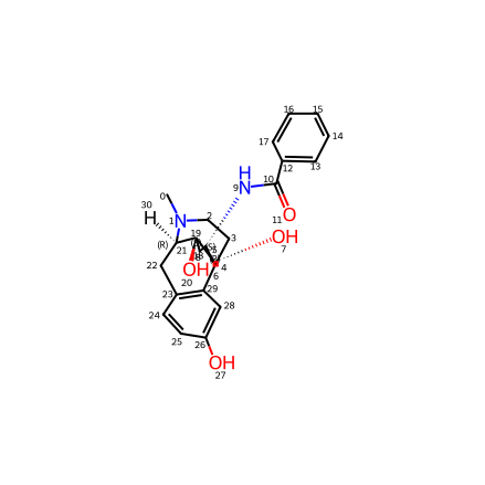 CN1CCC23C[C@@H](O)[C@@H](NC(=O)c4ccccc4)C[C@@]2(O)[C@H]1Cc1ccc(O)cc13